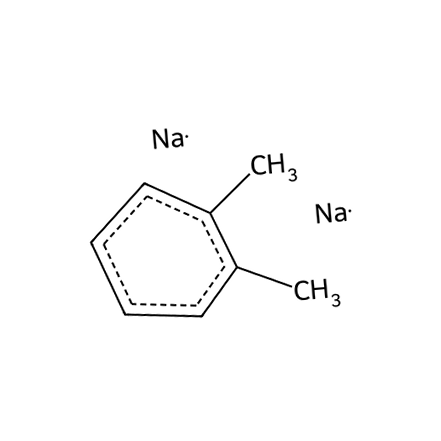 Cc1ccccc1C.[Na].[Na]